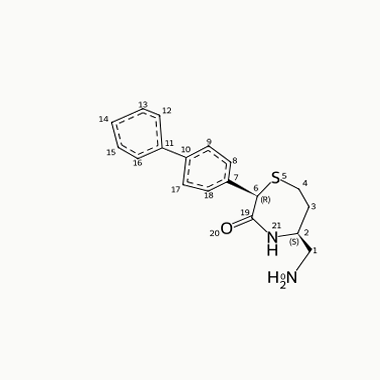 NC[C@@H]1CCS[C@H](c2ccc(-c3ccccc3)cc2)C(=O)N1